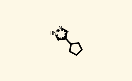 [c]1n[nH]cc1C1CCCC1